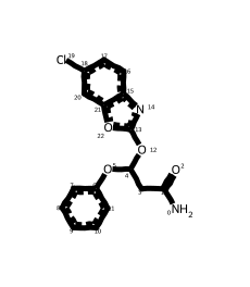 NC(=O)CC(Oc1ccccc1)Oc1nc2ccc(Cl)cc2o1